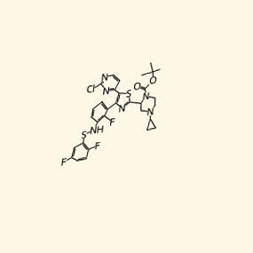 CC(C)(C)OC(=O)N1CCN(C2CC2)CC1c1nc(-c2cccc(NSc3cc(F)ccc3F)c2F)c(-c2ccnc(Cl)n2)s1